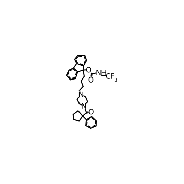 O=C(NCC(F)(F)F)OC1(CCCCN2CCN(C(=O)C3(c4ccccc4)CCCC3)CC2)c2ccccc2-c2ccccc21